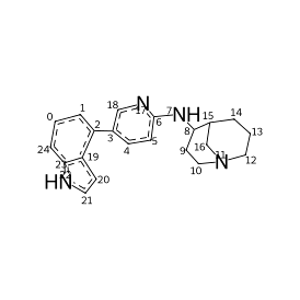 c1cc(-c2ccc(NC3CCN4CCCC3C4)nc2)c2cc[nH]c2c1